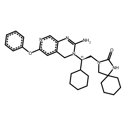 NC1=Nc2cnc(Oc3ccccc3)cc2CN1[C@@H](CN1CC2(CCCCC2)NC1=O)C1CCCCC1